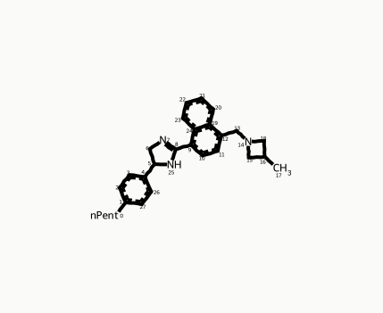 CCCCCc1ccc(C2CN=C(c3ccc(CN4CC(C)C4)c4ccccc34)N2)cc1